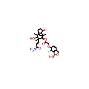 CC1C(O)C(C)(/C=C/C(N)=O)CC(OC(=O)COc2ccc3c(c2F)B(O)OC3)C2(C)C(C)CCC13CCC(=O)C32